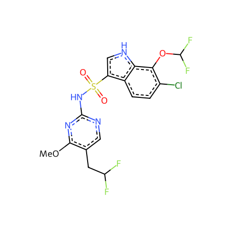 COc1nc(NS(=O)(=O)c2c[nH]c3c(OC(F)F)c(Cl)ccc23)ncc1CC(F)F